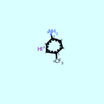 I.Nc1ccc(C(F)(F)F)cc1